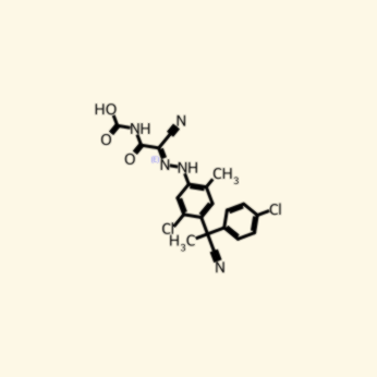 Cc1cc(C(C)(C#N)c2ccc(Cl)cc2)c(Cl)cc1N/N=C(\C#N)C(=O)NC(=O)O